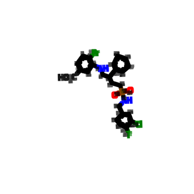 O=C(O)c1ccc(Br)c(NCC(CCS(=O)(=O)NCc2ccc(F)c(Cl)c2)c2ccccc2)c1